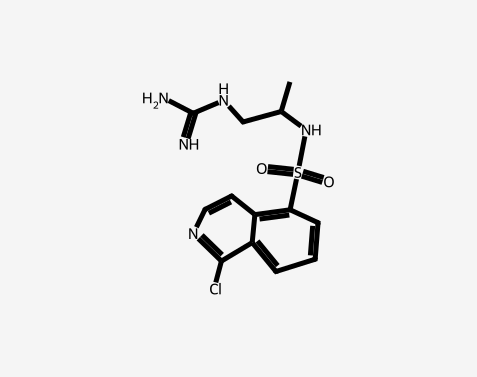 CC(CNC(=N)N)NS(=O)(=O)c1cccc2c(Cl)nccc12